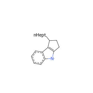 CCCCCCCC1CCC2=C1c1ccccc1[N]2